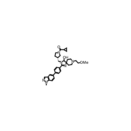 COCCN1CCC2(CC1)N=C(c1ccc(-c3ccc4c(cnn4C)c3)cc1)N(C[C@@H]1CCN(C(=O)C3CC3)C1)C2O